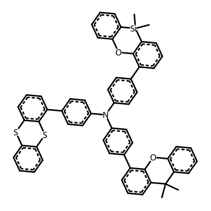 CC1(C)c2ccccc2Oc2c(-c3ccc(N(c4ccc(-c5cccc6c5Oc5ccccc5[Si]6(C)C)cc4)c4ccc(-c5cccc6c5Sc5ccccc5S6)cc4)cc3)cccc21